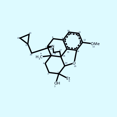 CCC1(O)CCC2(C)C3Cc4ccc(OC)c5c4C2(CCN3CC2CC2)C1O5